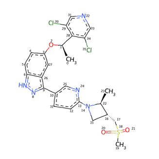 C[C@@H](Oc1ccc2[nH]nc(-c3ccc(N4C[C@@H](CS(C)(=O)=O)[C@@H]4C)nc3)c2c1)c1c(Cl)cncc1Cl